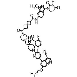 CCOc1cc(-c2ccc(N3CCC(CN4CCN(C(=O)C5CC6(CC(C(=O)Nc7ccc8c(N9CCC(=O)NC9=O)nn(C)c8c7)C6)C5)CC4)(NC(=O)c4cc(F)ccc4F)CC3)nc2)c2c(C#N)cnn2c1